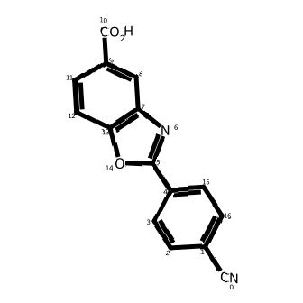 N#Cc1ccc(-c2nc3cc(C(=O)O)ccc3o2)cc1